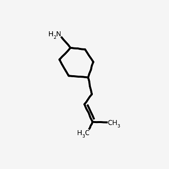 CC(C)=CCC1CCC(N)CC1